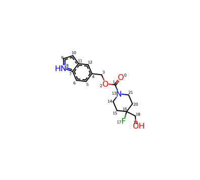 O=C(OCc1ccc2[nH]ccc2c1)N1CCC(F)(CO)CC1